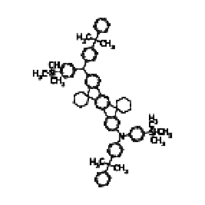 CC(C)(c1ccccc1)c1ccc(C(c2ccc([Si](C)(C)C)cc2)c2ccc3c(c2)C2(CCCCC2)c2cc4c(cc2-3)C2(CCCCC2)c2cc(N(c3ccc(C(C)(C)c5ccccc5)cc3)c3ccc([Si](C)(C)C)cc3)ccc2-4)cc1